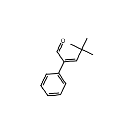 CC(C)(C)C=C(C=O)c1ccccc1